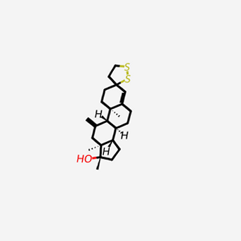 C=C1C[C@@]2(C)[C@@H](CC[C@]2(C)O)[C@@H]2CCC3=CC4(CCSS4)CC[C@]3(C)[C@@H]12